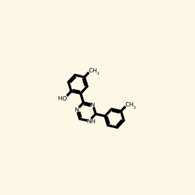 Cc1cccc(C2N=C(c3cc(C)ccc3O)N=CN2)c1